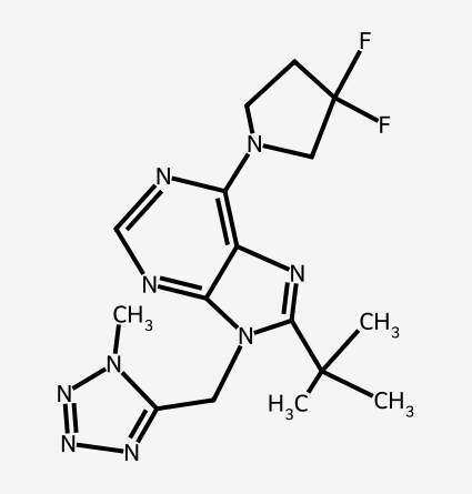 Cn1nnnc1Cn1c(C(C)(C)C)nc2c(N3CCC(F)(F)C3)ncnc21